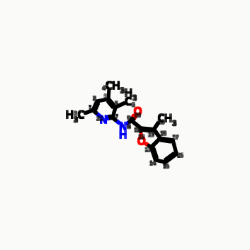 Cc1cc(C)c(C)c(NC(=O)c2oc3ccccc3c2C)n1